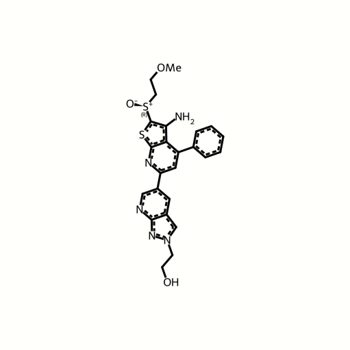 COCC[S@+]([O-])c1sc2nc(-c3cnc4nn(CCO)cc4c3)cc(-c3ccccc3)c2c1N